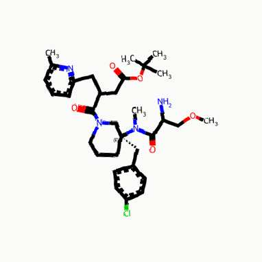 COCC(N)C(=O)N(C)[C@@]1(Cc2ccc(Cl)cc2)CCCN(C(=O)C(CC(=O)OC(C)(C)C)Cc2cccc(C)n2)C1